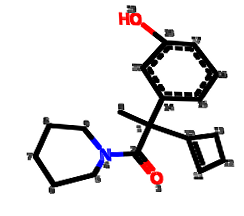 CC(C(=O)N1CCCCC1)(C1=CCC1)c1cccc(O)c1